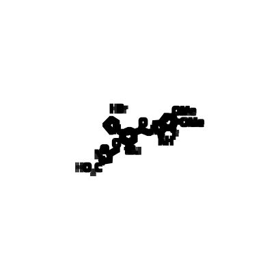 Br.COc1cc2c(c(F)c1OC)C(=N)N(CC(=O)c1cc(N3CCCC3)c(OCC3CC(C(=O)O)=NO3)c(C(C)(C)C)c1)C2